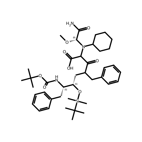 CO[C@H](C(N)=O)N(C1CCCCC1)C(C(=O)O)C(=O)C(Cc1ccccc1)C[C@H](O[Si](C)(C)C(C)(C)C)[C@H](Cc1ccccc1)NC(=O)OC(C)(C)C